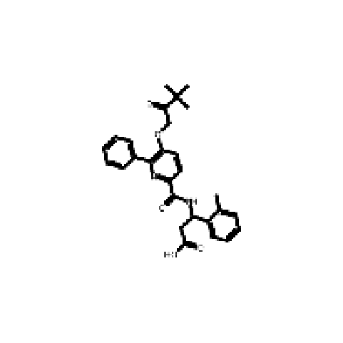 Cc1ccccc1C(CC(=O)O)NC(=O)c1ccc(OCC(=O)C(C)(C)C)c(-c2ccccc2)n1